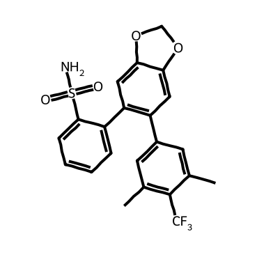 Cc1cc(-c2cc3c(cc2-c2ccccc2S(N)(=O)=O)OCO3)cc(C)c1C(F)(F)F